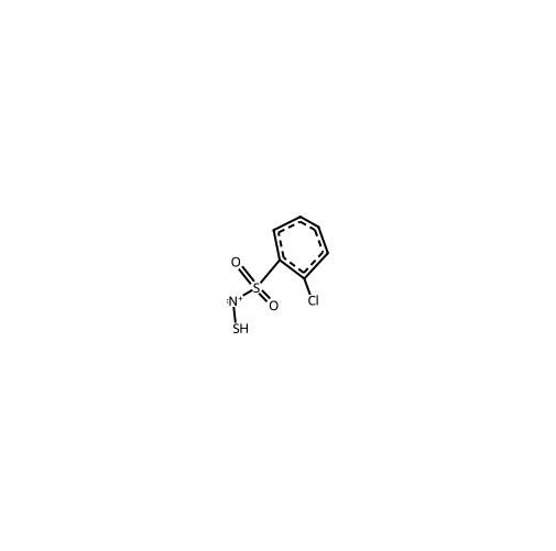 O=S(=O)([N+]S)c1ccccc1Cl